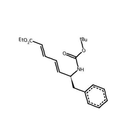 CCOC(=O)/C=C/C=C/[C@H](Cc1ccccc1)NC(=O)OC(C)(C)C